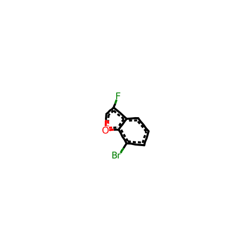 Fc1coc2c(Br)cccc12